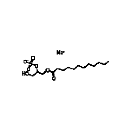 CCCCCCCCCCCC(=O)OCC(CO)OS(=O)(=O)[O-].[Na+]